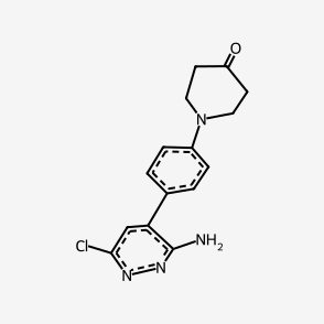 Nc1nnc(Cl)cc1-c1ccc(N2CCC(=O)CC2)cc1